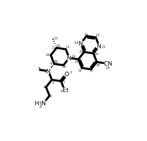 CCC(=O)C(CCN)N(C)[C@@H]1C[C@H](C)CN(c2ccc(C#N)c3nccnc23)C1